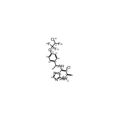 C=C(CC)/C(Cl)=C(/NC(C)c1ccc(OC(F)(F)C(F)Cl)cc1)n1ncnc1N